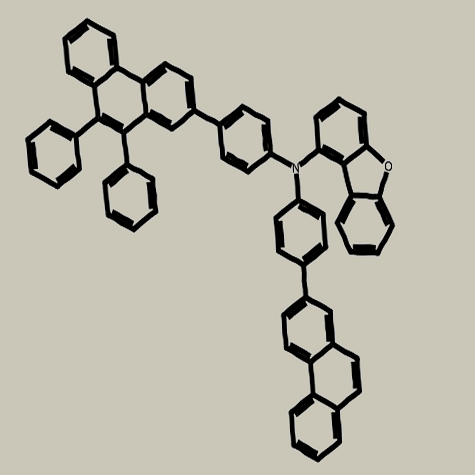 c1ccc(-c2c(-c3ccccc3)c3cc(-c4ccc(N(c5ccc(-c6ccc7c(ccc8ccccc87)c6)cc5)c5cccc6oc7ccccc7c56)cc4)ccc3c3ccccc23)cc1